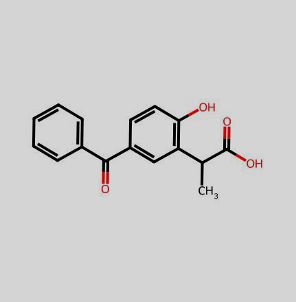 CC(C(=O)O)c1cc(C(=O)c2ccccc2)ccc1O